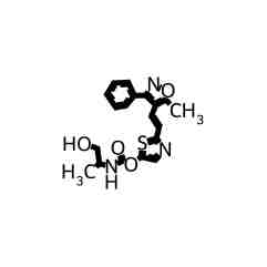 Cc1onc(-c2ccccc2)c1/C=C/c1ncc(OC(=O)NC(C)CO)s1